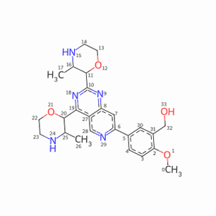 COc1ccc(-c2cc3nc(C4OCCNC4C)nc(C4OCCNC4C)c3cn2)cc1CO